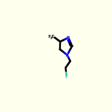 FCCN1[C]=NC(C(F)(F)F)[CH]1